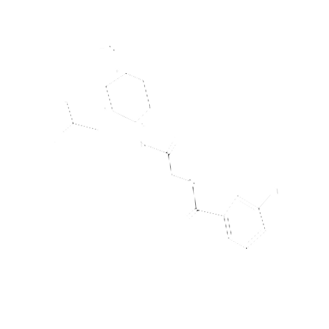 CCOC(=O)C(CC)C[C@@H]1C[C@H](N)CC[C@@H]1NC(=O)CNC(=O)c1cccc(C(F)(F)F)c1